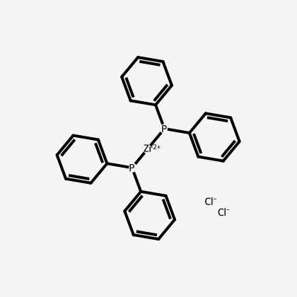 [Cl-].[Cl-].c1ccc([P]([Zr+2][P](c2ccccc2)c2ccccc2)c2ccccc2)cc1